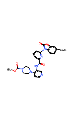 COc1ccc2c(c1)oc(=O)n2-c1cccc(C(=O)Nc2cnccc2N2CCN(C(=O)OC(C)(C)C)CC2)n1